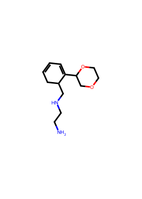 NCCNCC1CC=CC=C1C1COCCO1